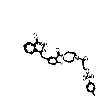 Cc1ccc(S(=O)(=O)OCC(=O)N2CCN(C(=O)c3cc(Cc4n[nH]c(=O)c5ccccc45)ccc3F)CC2)cc1